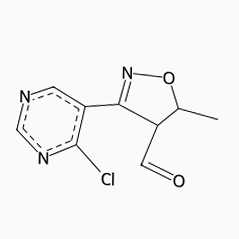 CC1ON=C(c2cncnc2Cl)C1C=O